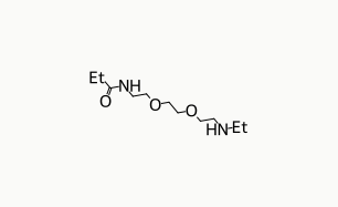 CCNCCOCCOCCNC(=O)CC